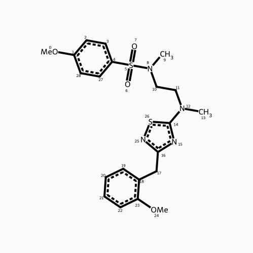 COc1ccc(S(=O)(=O)N(C)CCN(C)c2nc(Cc3ccccc3OC)ns2)cc1